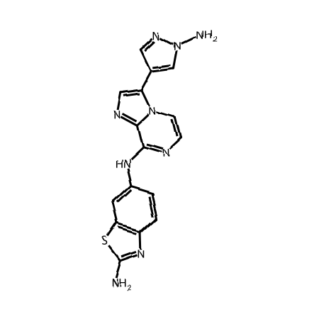 Nc1nc2ccc(Nc3nccn4c(-c5cnn(N)c5)cnc34)cc2s1